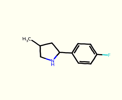 CC1CNC(c2ccc(F)cc2)C1